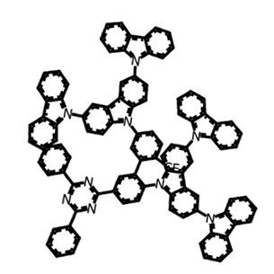 FC(F)(F)c1ccc(-n2c3ccc(-n4c5ccccc5c5ccccc54)cc3c3cc(-n4c5ccccc5c5ccccc54)ccc32)cc1-c1cc(-c2nc(-c3ccccc3)nc(-c3ccccc3)n2)ccc1-n1c2ccc(-n3c4ccccc4c4ccccc43)cc2c2cc(-n3c4ccccc4c4ccccc43)ccc21